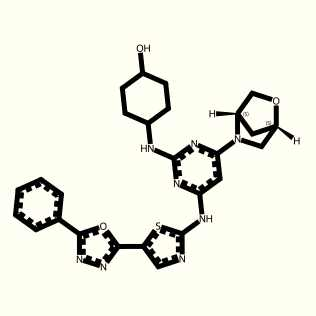 OC1CCC(Nc2nc(Nc3ncc(-c4nnc(-c5ccccc5)o4)s3)cc(N3C[C@@H]4C[C@H]3CO4)n2)CC1